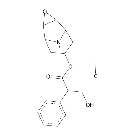 CCl.CN1C2CC(OC(=O)C(CO)c3ccccc3)CC1C1OC12